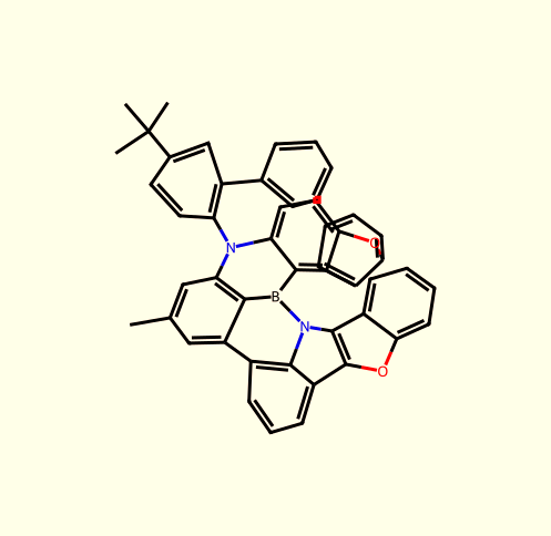 Cc1cc2c3c(c1)N(c1ccc(C(C)(C)C)cc1-c1ccccc1)c1ccc4oc5ccccc5c4c1B3n1c3c-2cccc3c2oc3ccccc3c21